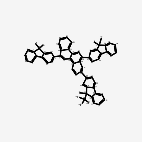 CC1(C)c2ccccc2-c2ccc(-c3cc4c5ccc(-c6ccc7c(c6)C(C)(C(F)(F)F)c6ccccc6-7)cc5c(-c5ccc6c(c5)C(C)(C)c5ccccc5-6)cc4c4ccccc34)cc21